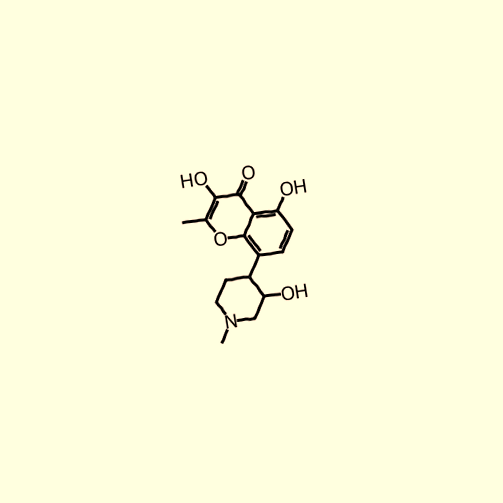 Cc1oc2c(C3CCN(C)CC3O)ccc(O)c2c(=O)c1O